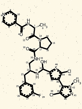 C[C@@H](NC(=O)c1ccncc1)C(=O)N1CCC[C@H]1C(=O)NC[C@H](Cc1cccc(F)c1)NC(O)c1cc(-c2c(Cl)cnn2C)c(Cl)s1